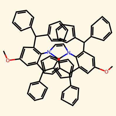 COc1cc(C(c2ccccc2)c2ccccc2)c(N2[CH]N(c3c(C(c4ccccc4)c4ccccc4)cc(OC)cc3C(c3ccccc3)c3ccccc3)C=C2)c(C(c2ccccc2)c2ccccc2)c1